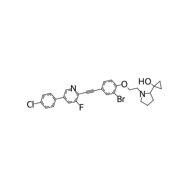 OC1(C2CCCN2CCOc2ccc(C#Cc3ncc(-c4ccc(Cl)cc4)cc3F)cc2Br)CC1